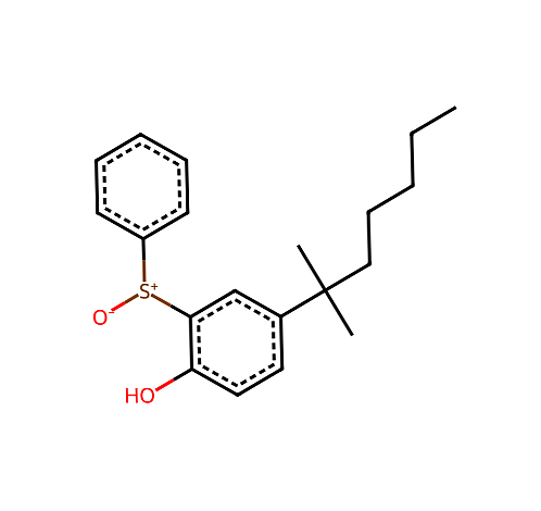 CCCCCC(C)(C)c1ccc(O)c([S+]([O-])c2ccccc2)c1